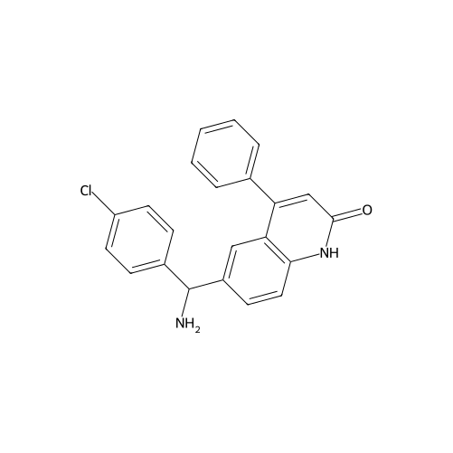 NC(c1ccc(Cl)cc1)c1ccc2[nH]c(=O)cc(-c3ccccc3)c2c1